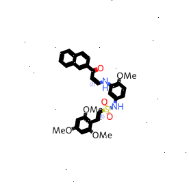 COc1cc(OC)c(/C=C/S(=O)(=O)Nc2ccc(OC)c(N/C=C\C(=O)c3ccc4ccccc4c3)c2)c(OC)c1